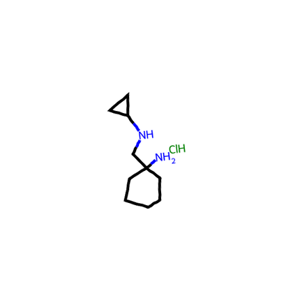 Cl.NC1(CNC2CC2)CCCCC1